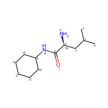 CC(C)C[C@H](N)C(=O)NC1CCCCC1